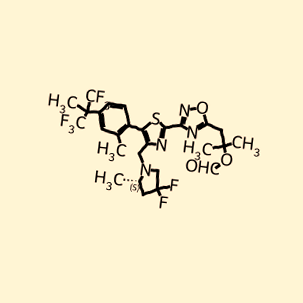 Cc1cc(C(C)(C(F)(F)F)C(F)(F)F)ccc1-c1sc(-c2noc(CC(C)(C)OC=O)n2)nc1CN1CC(F)(F)C[C@@H]1C